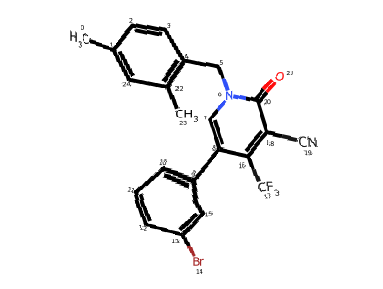 Cc1ccc(Cn2cc(-c3cccc(Br)c3)c(C(F)(F)F)c(C#N)c2=O)c(C)c1